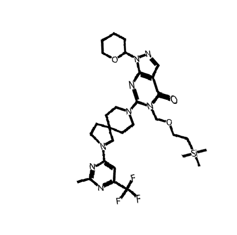 Cc1nc(N2CCC3(CCN(c4nc5c(cnn5C5CCCCO5)c(=O)n4COCC[Si](C)(C)C)CC3)C2)cc(C(F)(F)F)n1